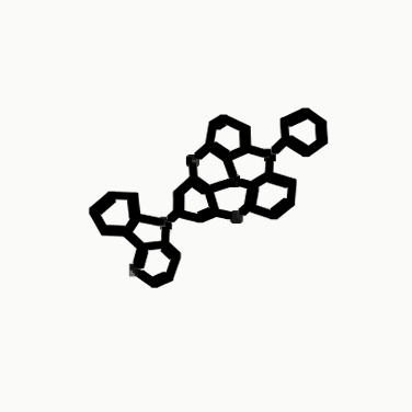 c1ccc(N2c3cccc4c3B3c5c(cc(-n6c7ccccc7c7ncccc76)cc5Oc5cccc2c53)O4)cc1